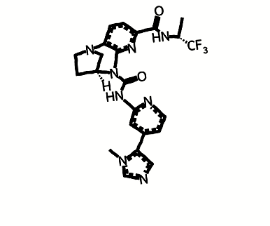 C[C@@H](NC(=O)c1ccc2c(n1)N(C(=O)Nc1cc(-c3cncn3C)ccn1)[C@H]1CCN2C1)C(F)(F)F